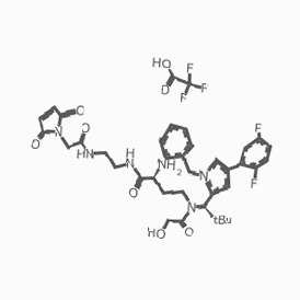 CC(C)(C)[C@H](c1cc(-c2cc(F)ccc2F)cn1Cc1ccccc1)N(CC[C@H](N)C(=O)NCCNC(=O)CN1C(=O)C=CC1=O)C(=O)CO.O=C(O)C(F)(F)F